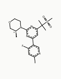 Cc1cc(F)c(-c2cc(C(C)(C)S(C)(=O)=O)nc(N3CCOC[C@@H]3C)n2)cn1